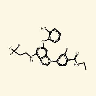 CCNC(=O)c1ccc(-n2cnc3c(NCCC(F)(F)F)cc(Oc4ccccc4O)cc32)cc1C